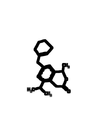 CC(C)c1cc(CC2=CCCCC2)cc2c1CC(=O)OC2C